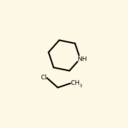 C1CCNCC1.CCCl